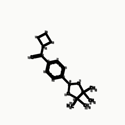 CC1(C)OB(c2ccc(C(=O)N3CCC3)cc2)OC1(C)C